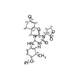 CC(C)OC1C=CC(NC2NC(=O)N([C@H]3CCOC3=O)C(=O)N2CC2=CC=C(Cl)CC2)=CC1C